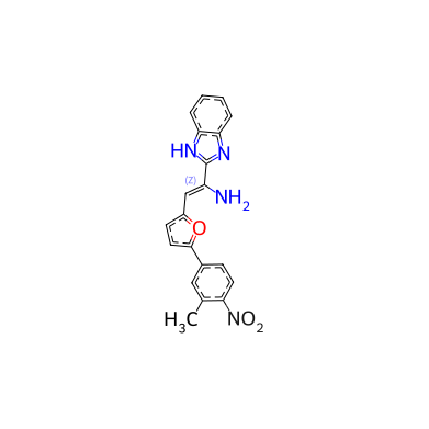 Cc1cc(-c2ccc(/C=C(\N)c3nc4ccccc4[nH]3)o2)ccc1[N+](=O)[O-]